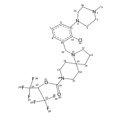 CN1CCN(c2cccc(CN3CCCC34CCN(C(=O)OC(C(F)(F)F)C(F)(F)F)CC4)c2Cl)CC1